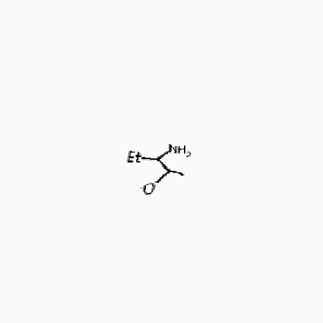 CCC(N)C(C)[O]